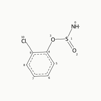 [NH]S(=O)Oc1ccccc1Cl